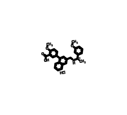 COc1cccc([C@@H](C)NCc2cc(-c3ccc(OC)c(C(=O)O)c3)c3ccccc3c2)c1.Cl